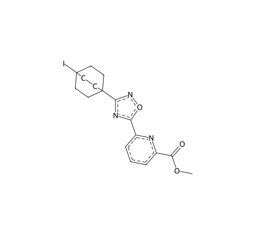 COC(=O)c1cccc(-c2nc(C34CCC(I)(CC3)CC4)no2)n1